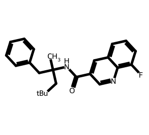 CC(C)(C)CC(C)(Cc1ccccc1)NC(=O)c1cnc2c(F)cccc2c1